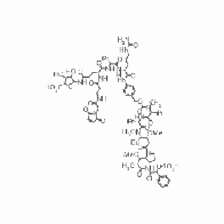 CC[C@H](C)[C@@H]([C@@H](CC(=O)N1CCC[C@H]1[C@H](OC)[C@@H](C)C(=O)N[C@H](C)[C@@H](OS(=O)(=O)O)c1ccccc1)OC)N(C)C(=O)[C@@H](NC(=O)[C@H](C(C)C)N(C)C(=O)OCc1ccc(NC(=O)[C@H](CCCNC(N)=O)NC(=O)[C@@H](NC(=O)[C@H](CCC(=O)NC2O[C@H](C(=O)O)[C@@H](O)[C@H]2O)NC(=O)CCNC(=O)CN2C(=O)C=CC2=O)C(C)C)cc1)C(C)C